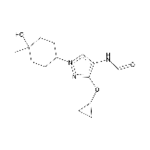 CC1(O)CCC(n2cc(NC=O)c(OC3CC3)n2)CC1